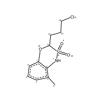 Cc1cccc2c1NS(=O)(=O)C(CCCCl)O2